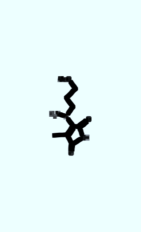 COCCCN(N)C1=C(C)C(=O)NC1=O